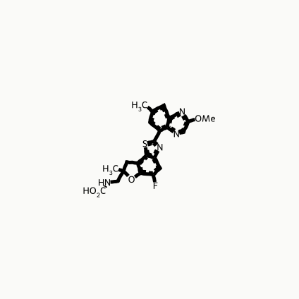 COc1cnc2c(-c3nc4cc(F)c5c(c4s3)CC(C)(CNC(=O)O)O5)cc(C)cc2n1